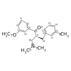 COc1cccc(C(=O)[C@@H](Cc2cccc(C)c2)CN(C)C)c1